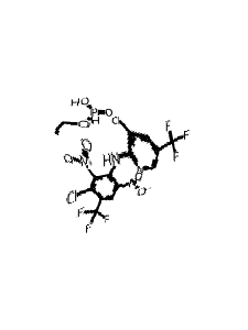 CCO[PH](=O)O.O=[N+]([O-])c1cc(C(F)(F)F)c(Cl)c([N+](=O)[O-])c1Nc1ncc(C(F)(F)F)cc1Cl